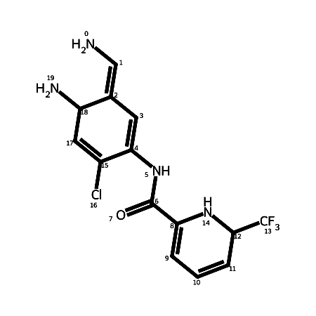 N/C=C1/C=C(NC(=O)C2=CC=CC(C(F)(F)F)N2)C(Cl)=CC1N